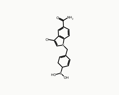 NC(=O)c1ccc2c(c1)c(Cl)cn2CC1=CCC(B(O)O)C=C1